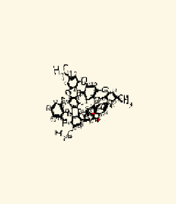 Cc1cc2c3c(c1)Oc1cc4c(cc1B3c1cc3c(cc1O2)Oc1cc(C)cc2c1B3c1sc3cc(F)cc(F)c3c1O2)B1c2sc3cc(F)cc(F)c3c2Oc2cc(C)cc(c21)N4c1c(F)cccc1F